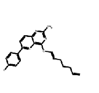 C=CCCCC=COc1nc(N)nc2ccc(-c3ccc(F)cc3)nc12